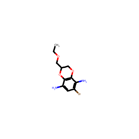 CCOCC1COc2c(N)c(Br)cc(N)c2O1